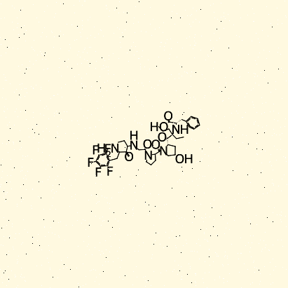 CCCC(CC)(N[C@@H](Cc1ccccc1)C(=O)O)C(=O)[C@@H]1C[C@@H](O)CN1C(=O)C1CCCN1C(=O)CNC(CC)C(=O)[C@@H](N)Cc1c(F)c(F)c(F)c(F)c1F